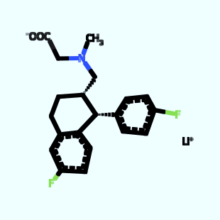 CN(CC(=O)[O-])C[C@H]1CCc2cc(F)ccc2[C@H]1c1ccc(F)cc1.[Li+]